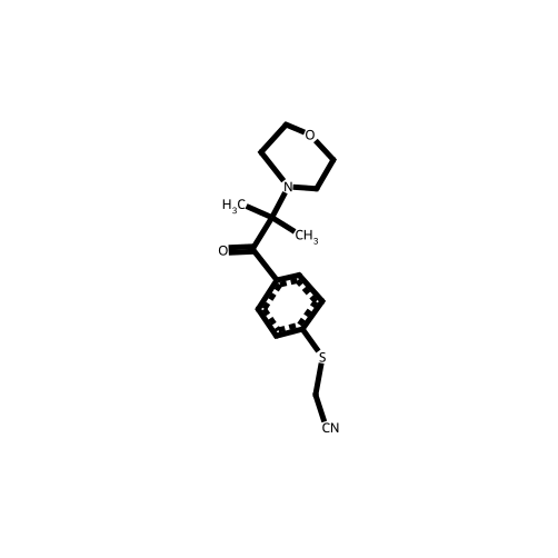 CC(C)(C(=O)c1ccc(SCC#N)cc1)N1CCOCC1